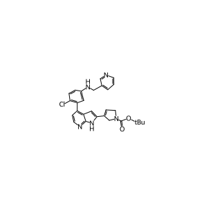 CC(C)(C)OC(=O)N1CC=C(c2cc3c(-c4cc(NCc5cccnc5)ccc4Cl)ccnc3[nH]2)C1